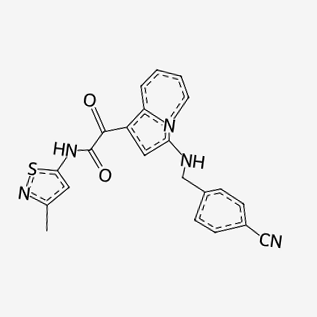 Cc1cc(NC(=O)C(=O)c2cc(NCc3ccc(C#N)cc3)n3ccccc23)sn1